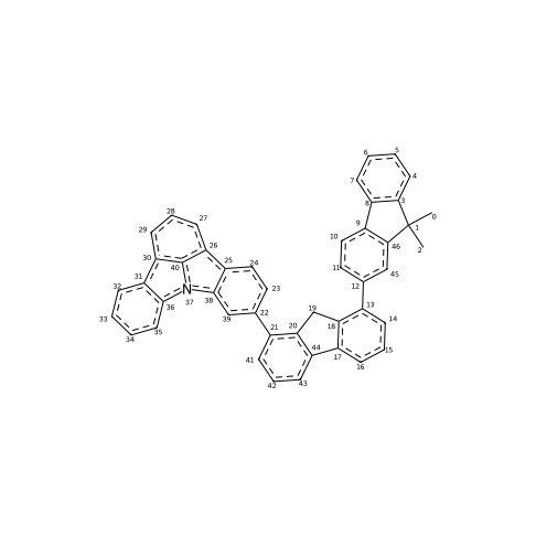 CC1(C)c2ccccc2-c2ccc(-c3cccc4c3Cc3c(-c5ccc6c7cccc8c9ccccc9n(c6c5)c87)cccc3-4)cc21